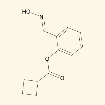 O=C(Oc1ccccc1/C=N/O)C1CCC1